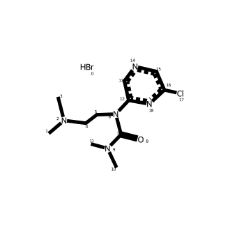 Br.CN(C)CCN(C(=O)N(C)C)c1cncc(Cl)n1